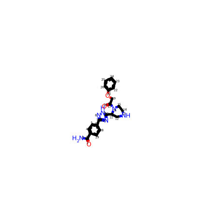 NC(=O)c1ccc(-c2n[nH]c(C3CNCCN3C(=O)COc3ccccc3)n2)cc1